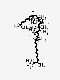 BC(F)(CC(C)(C)C(C)C(C)(F)CC(C)(C)C(F)(F)CCCCCCCCC(=C)C(=C)C)C(F)(P)C(C)(C)CC(F)(F)CCCCCC(=C)C